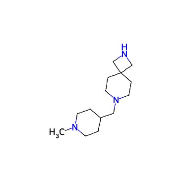 CN1CCC(CN2CCC3(CC2)CNC3)CC1